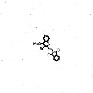 CSc1c(Br)c(CCN2C(=O)c3ccccc3C2=O)nc2ccc(F)cc12